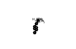 CC1(C)OB(c2ccc(-c3ccc4ccc5c(-c6ccccc6)ccc6ccc3c4c65)cc2)OC1(C)C